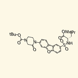 COC(=O)[C@H](CC(C)C)NS(=O)(=O)c1ccc2oc3cc(N4CCN(C(=O)OC(C)(C)C)CC4=O)ccc3c2c1